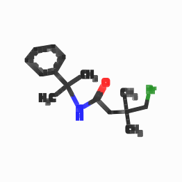 CC(C)(CBr)CC(=O)NC(C)(C)c1ccccc1